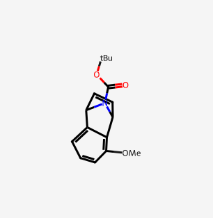 COc1cccc2c1C1C=CC2N1C(=O)OC(C)(C)C